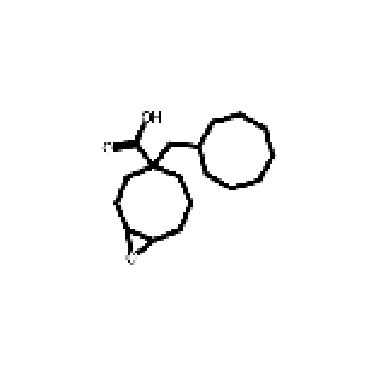 O=C(O)C1(CC2CCCCCCC2)CCCC2OC2CC1